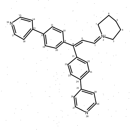 C(C=[N+]1CCCCC1)=C(c1ccc(-c2ccncc2)cc1)c1ccc(-c2ccncc2)cc1